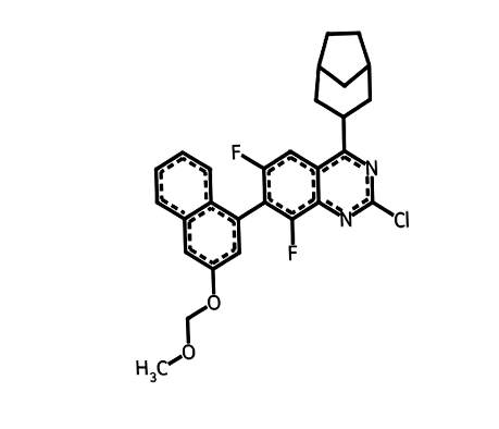 COCOc1cc(-c2c(F)cc3c(C4CC5CCC(C5)C4)nc(Cl)nc3c2F)c2ccccc2c1